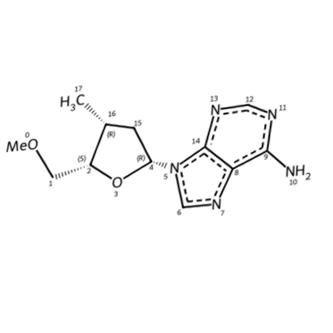 COC[C@H]1O[C@@H](n2cnc3c(N)ncnc32)C[C@H]1C